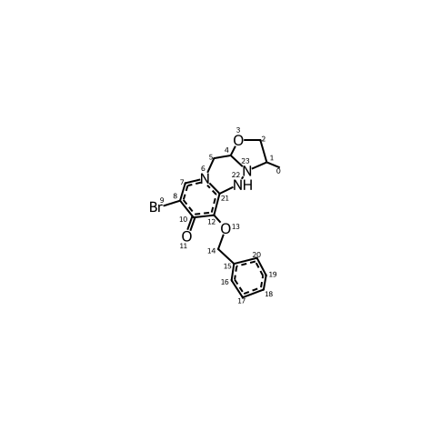 CC1COC2Cn3cc(Br)c(=O)c(OCc4ccccc4)c3NN12